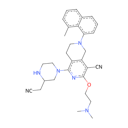 Cc1cccc2cccc(N3CCc4c(N5CCNC(CC#N)C5)nc(OCCN(C)C)c(C#N)c4C3)c12